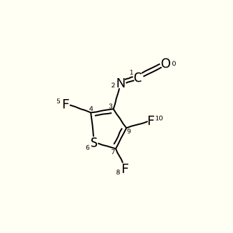 O=C=Nc1c(F)sc(F)c1F